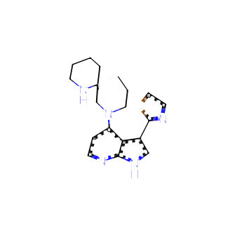 c1csc(-c2c[nH]c3nccc(N4CCC[C@]5(CCCCN5)C4)c23)n1